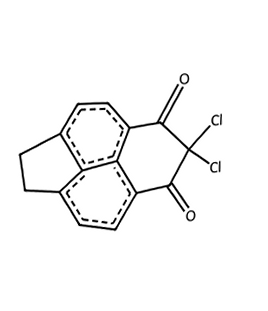 O=C1c2ccc3c4c(ccc(c24)C(=O)C1(Cl)Cl)CC3